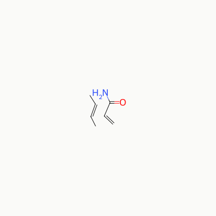 C=CC(N)=O.CC=CC